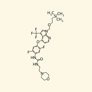 C[Si](C)(C)CCOCn1cc(C(F)(F)F)c2c(Oc3cc(F)c(NC(=O)NCCN4CCOCC4)cc3F)ccnc21